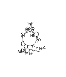 CCO[C@@H]1c2nc(cs2)-c2ccc3c(c2)c(c(-c2cc(C4CCN(C5CC5)CC4)cnc2[C@H](C)OC)n3CC)CC(C)(C)COC(=O)[C@@H]2CCCN(N2)C(=O)[C@H]1NC(=O)[C@H]1[C@H](C)[C@@H]1C